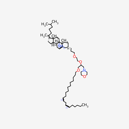 CCCCC/C=C\C/C=C\CCCCCCCCCCOCC(CN1CCOCC1)OCCOCCC[C@H]1CC[C@@]2(C)C(=CC[C@H]3[C@@H]4CC[C@H]([C@H](C)CCCC(C)C)[C@@]4(C)CC[C@@]32N)C1